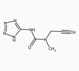 C#CCN(C)C(=O)Nc1nnn[nH]1